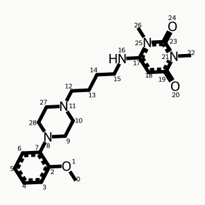 COc1ccccc1N1CCN(CCCCNc2cc(=O)n(C)c(=O)n2C)CC1